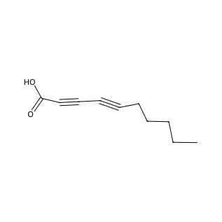 CCCCCC#CC#CC(=O)O